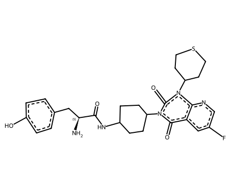 N[C@@H](Cc1ccc(O)cc1)C(=O)NC1CCC(n2c(=O)c3cc(F)cnc3n(C3CCSCC3)c2=O)CC1